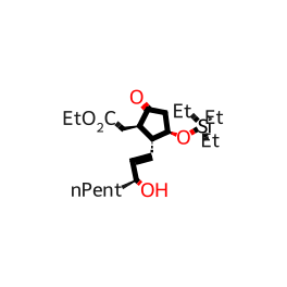 CCCCC[C@H](O)/C=C/[C@H]1[C@H](O[Si](CC)(CC)CC)CC(=O)[C@@H]1CC(=O)OCC